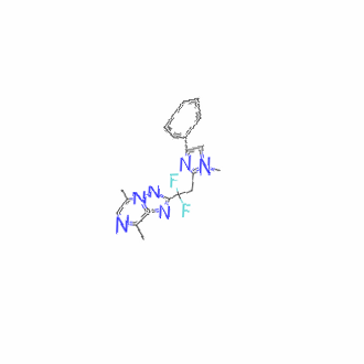 Cc1ncc(C)n2nc(C(F)(F)Cc3nc(-c4ccccc4)cn3C)nc12